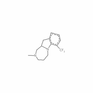 CN1CCCN2c3c(cccc3C(F)(F)F)CC2C1